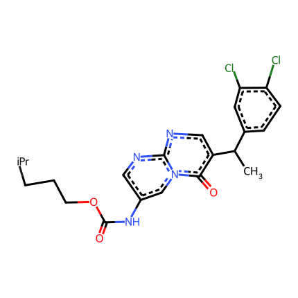 CC(C)CCCOC(=O)Nc1cnc2ncc(C(C)c3ccc(Cl)c(Cl)c3)c(=O)n2c1